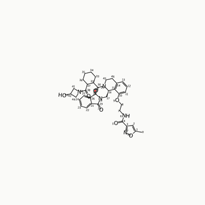 Cc1cc(C(=O)NCCOc2cccc3c2[C@@H](CN2C(=O)c4ccccc4C2=O)N(C(=O)C2CCCCC2C(=O)N2CC(O)C2)CC3)no1